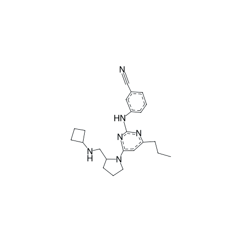 CCCc1cc(N2CCCC2CNC2CCC2)nc(Nc2cccc(C#N)c2)n1